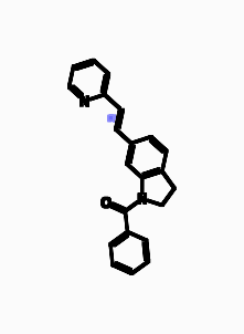 O=C(c1ccccc1)N1CCc2ccc(/C=C/c3ccccn3)cc21